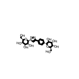 OC[C@H]1O[C@H](c2ccc(-c3cn([C@H]4O[C@H](CO)[C@@H](O)[C@@H](O)[C@H]4O)nn3)cc2)[C@@H](O)[C@@H](O)[C@@H]1O